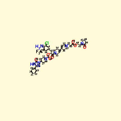 Nc1c(Cl)cc(C[C@@H](OC(=O)N2CCC(n3nc(-c4ccccc4)[nH]c3=O)CC2)C(=O)N2CCC(C3CCN(CCC(=O)OCCN4CCCC4=O)CC3)CC2)cc1C(F)(F)F